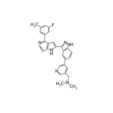 Cc1cc(F)cc(-c2nccc3[nH]c(-c4n[nH]c5ccc(-c6cncc(CN(C)C)c6)cc45)cc23)c1